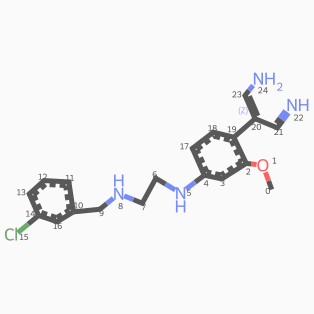 COc1cc(NCCNCc2cccc(Cl)c2)ccc1/C(C=N)=C/N